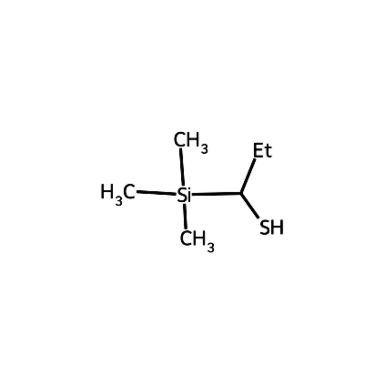 CCC(S)[Si](C)(C)C